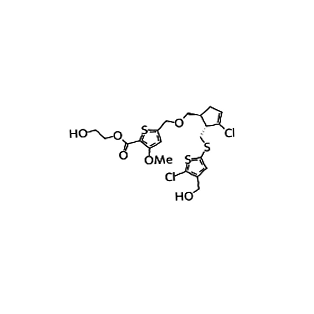 COc1cc(COC[C@H]2CC=C(Cl)[C@@H]2CSc2cc(CO)c(Cl)s2)sc1C(=O)OCCO